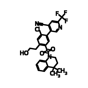 CC1(C)CCN(S(=O)(=O)c2cc(-c3cnc(C(F)(F)F)cc3C#N)c(Cl)cc2CCO)c2ccccc21